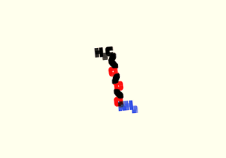 CCCCOCCOCCON